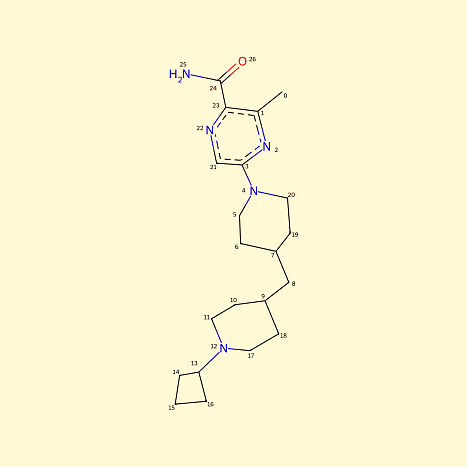 Cc1nc(N2CCC(CC3CCN(C4CCC4)CC3)CC2)cnc1C(N)=O